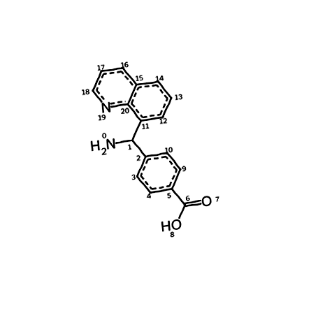 NC(c1ccc(C(=O)O)cc1)c1cccc2cccnc12